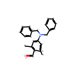 Cc1cc(N(Cc2ccccc2)Cc2ccccc2)cc(C)c1C=O